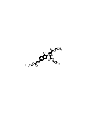 CCOC(=O)CCc1ccc2c(c1)CC(n1cc(C(=O)OCC)nc1C(=O)OCC)C2=O